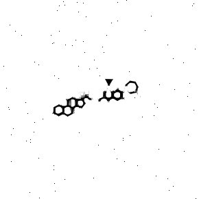 C[C@@]12CCC(=O)C=C1CC[C@H]1C2[C@H](O)C[C@]2(C)[C@@H]1CC[C@@]2(O)C(=O)COC(=O)c1cn(C2CC2)c2c(Cl)c(N3CCCC[C@H](N)C3)c(F)cc2c1=O